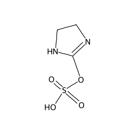 O=S(=O)(O)OC1=NCCN1